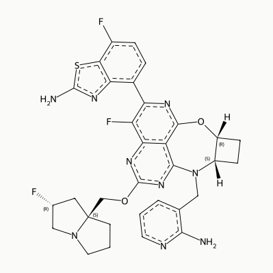 Nc1nc2c(-c3nc4c5c(nc(OC[C@@]67CCCN6C[C@H](F)C7)nc5c3F)N(Cc3cccnc3N)[C@H]3CC[C@H]3O4)ccc(F)c2s1